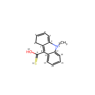 CN1C2=CC=CCC2=C(C(O)=S)c2ccccc21